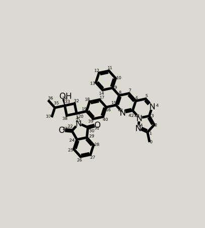 Cc1cc2ncc3cc(-c4ccccc4)c(-c4ccc([C@]5(N6C(=O)c7ccccc7C6=O)C[C@@](O)(C(C)C)C5)cc4)nc3n2n1